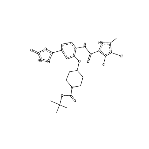 Cc1[nH]c(C(=O)Nc2ccc(-c3n[nH]c(=O)o3)cc2OC2CCN(C(=O)OC(C)(C)C)CC2)c(Cl)c1Cl